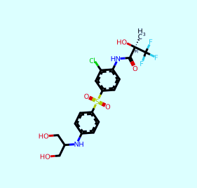 C[C@@](O)(C(=O)Nc1ccc(S(=O)(=O)c2ccc(NC(CO)CO)cc2)cc1Cl)C(F)(F)F